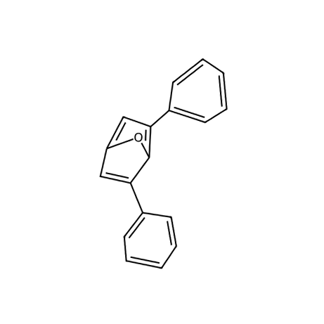 c1ccc(-c2cc3cc(-c4ccccc4)c2o3)cc1